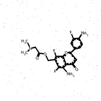 CN(C)CC(=O)OCc1c(F)c(N)c2c(=O)cc(-c3ccc(N)c(F)c3)oc2c1F